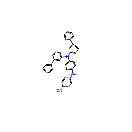 CN(c1ccc(N=O)cc1)c1ccc(N(c2cccc(-c3ccccc3)c2)c2cccc(-c3ccccc3)c2)cc1